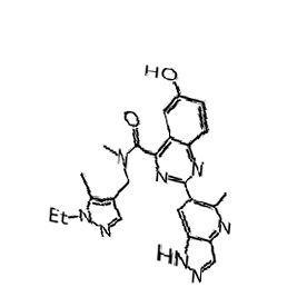 CCn1ncc(CN(C)C(=O)c2nc(-c3cc4[nH]ncc4nc3C)nc3ccc(O)cc23)c1C